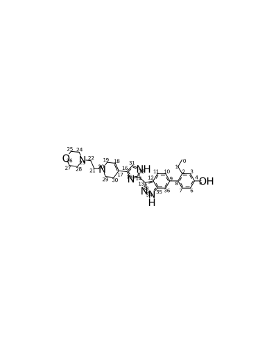 CCc1cc(O)ccc1-c1ccc2c(-c3nc(C4=CCN(CCN5CCOCC5)CC4)c[nH]3)n[nH]c2c1